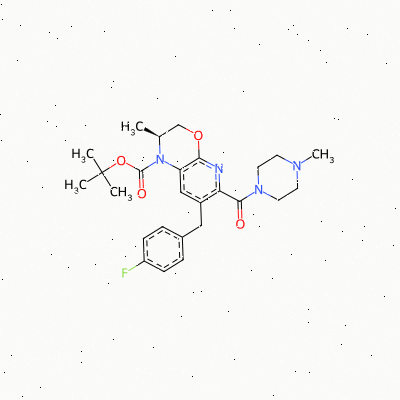 C[C@H]1COc2nc(C(=O)N3CCN(C)CC3)c(Cc3ccc(F)cc3)cc2N1C(=O)OC(C)(C)C